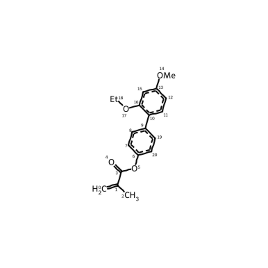 C=C(C)C(=O)Oc1ccc(-c2ccc(OC)cc2OCC)cc1